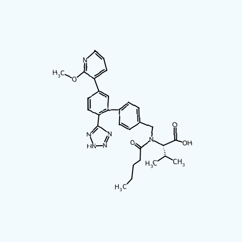 CCCCC(=O)N(Cc1ccc(-c2cc(-c3cccnc3OC)ccc2-c2nn[nH]n2)cc1)[C@H](C(=O)O)C(C)C